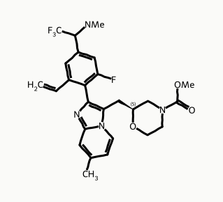 C=Cc1cc(C(NC)C(F)(F)F)cc(F)c1-c1nc2cc(C)ccn2c1C[C@H]1CN(C(=O)OC)CCO1